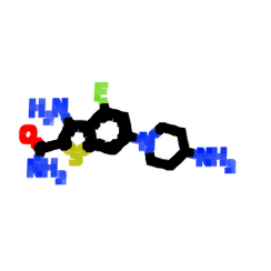 NC(=O)c1sc2cc(N3CCC(N)CC3)cc(F)c2c1N